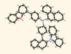 c1ccc2c(-c3ccc(N(c4ccc(-c5cccc6c5oc5ccccc56)cc4)c4cc5ccccc5c5ccccc45)cc3)c(-n3c4ccccc4c4ccccc43)ccc2c1